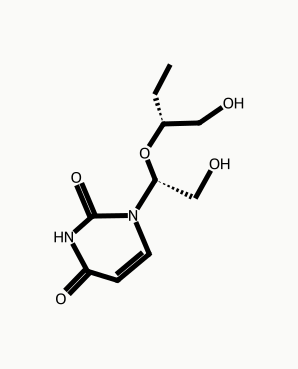 CC[C@H](CO)O[C@H](CO)n1ccc(=O)[nH]c1=O